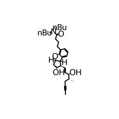 CC#CC[C@@H](C)[C@H](O)/C=C/[C@@H]1[C@H]2c3cccc(CCCC(=O)N(CCCC)CCCC)c3O[C@H]2C[C@H]1O